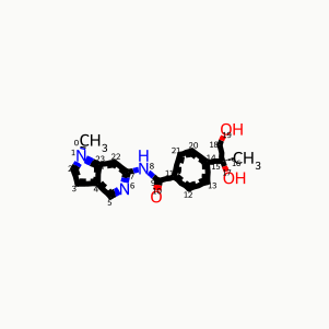 Cn1ccc2cnc(NC(=O)c3ccc([C@](C)(O)CO)cc3)cc21